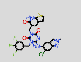 Cn1cc2cc(Nc3nc(=O)n(Cc4cc5ccsc5[nH]c4=O)c(=O)n3Cc3cc(F)c(F)c(F)c3)c(Cl)cc2n1